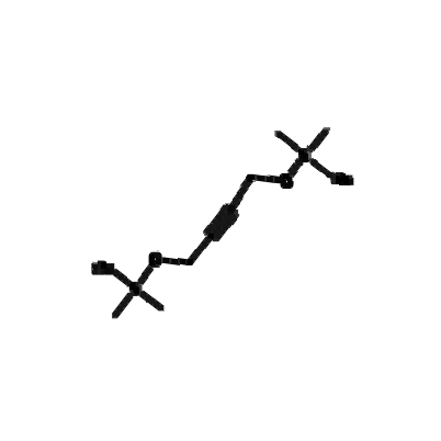 CC(C)(C)[Si](C)(C)OCC#CCO[Si](C)(C)C(C)(C)C